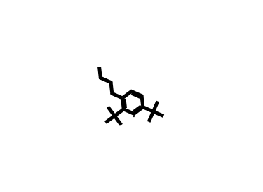 CCCCc1ccc(C(C)(C)C)[c]c1C(C)(C)C